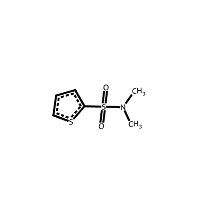 CN(C)S(=O)(=O)c1cccs1